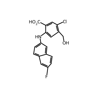 O=C(O)c1cc(Cl)c(CO)cc1Nc1ccc2cc(F)ccc2c1